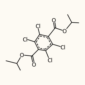 CC(C)OC(=O)c1c(Cl)c(Cl)c(C(=O)OC(C)C)c(Cl)c1Cl